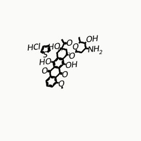 COc1cccc2c1C(=O)c1c(O)c3c(c(O)c1C2=O)C[C@@](O)(C(C)=O)C[C@@H]3OC1CC(N)C(O)C(C)O1.Cl.c1ccsc1